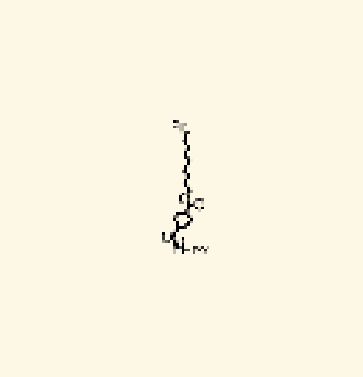 CCCCCCOC(=O)C1CCC(C(=O)OCCCCCCCCCC(C)C)CC1